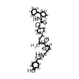 CN(CCN1CCC(OC(=O)Nc2ccccc2-c2ccccc2)CC1)C(=O)c1ccc(CNCCc2ccc(O)cc2)o1